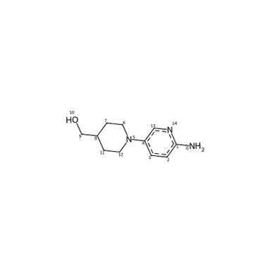 Nc1ccc(N2CCC(CO)CC2)cn1